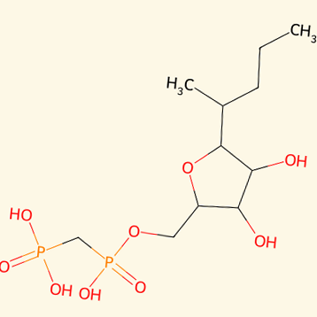 CCCC(C)C1OC(COP(=O)(O)CP(=O)(O)O)C(O)C1O